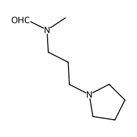 CN(C=O)CCCN1CCCC1